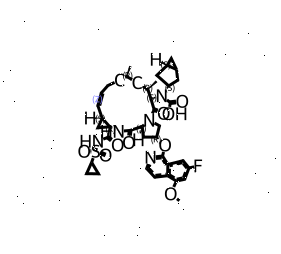 COc1cc(F)cc2c(O[C@@H]3C[C@H]4C(=O)N[C@]5(C(=O)NS(=O)(=O)C6CC6)C[C@H]5/C=C\CC[C@@H](C)C[C@@H](C)[C@H](N(C(=O)O)[C@H]5CC6C[C@H]6C5)C(=O)N4C3)nccc12